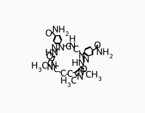 CCn1nc(C)c2c1C(=O)Nc1nc3cc(C(N)=O)ccc3n1CCNCCn1c(nc3cc(C(N)=O)ccc31)NC(=O)C1CC(C)=NN1CCCCC2